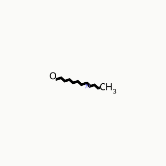 CCC/C=C/CCCCCCC=O